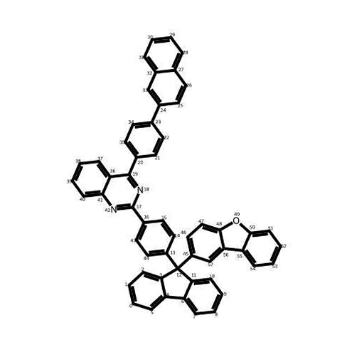 c1ccc2c(c1)-c1ccccc1C2(c1ccc(-c2nc(-c3ccc(-c4ccc5ccccc5c4)cc3)c3ccccc3n2)cc1)c1ccc2oc3ccccc3c2c1